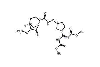 CC(C)(C)OC(=O)/N=C(/NC(=O)OC(C)(C)C)N1CC[C@H](ONC(=O)[C@@H]2CC[C@H]3CN2C(=O)N3OS(=O)(=O)O)C1